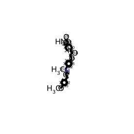 COc1ccc(CO/N=C(\C)c2ccc(OCC(=O)N3CCC4(CC3)CNC(=O)O4)cc2)cc1